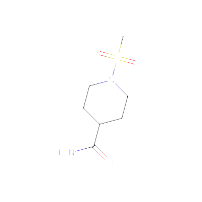 CS(=O)(=O)N1CCC(C(N)=O)CC1